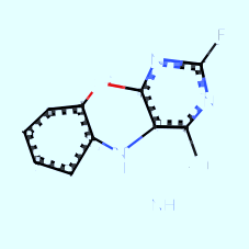 CCc1nc(CC)c2c(n1)Oc1ccccc1N2.N